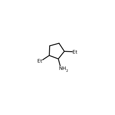 CCC1CCC(CC)C1N